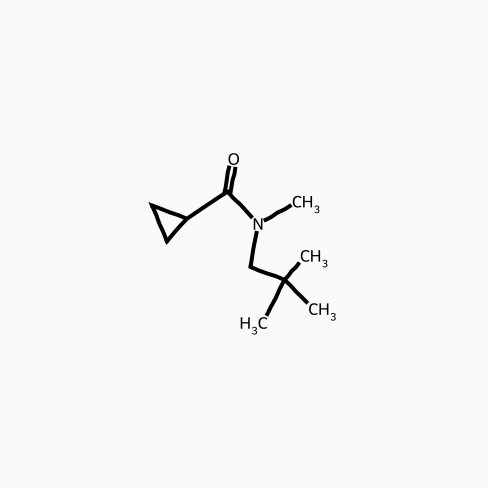 CN(CC(C)(C)C)C(=O)C1CC1